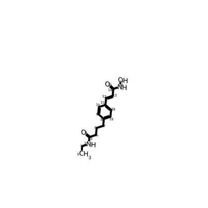 CCNC(=O)CCCc1ccc(/C=C/C(=O)NO)cc1